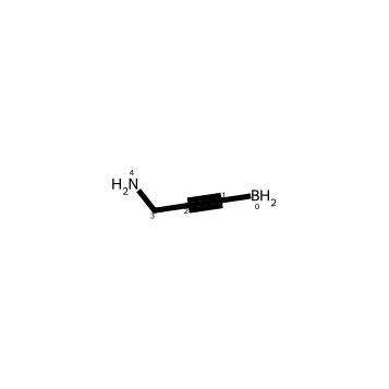 BC#CCN